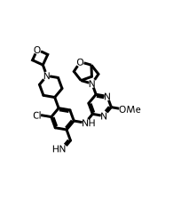 COc1nc(Nc2cc(C3CCN(C4COC4)CC3)c(Cl)cc2C=N)cc(N2CC3CC2CO3)n1